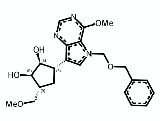 COC[C@H]1C[C@@H](c2cn(COCc3ccccc3)c3c(OC)ncnc23)[C@H](O)[C@@H]1O